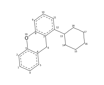 c1ccc2c(c1)Cc1c(cccc1C1CCCCC1)O2